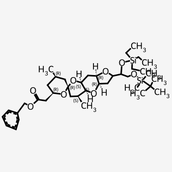 CC[Si](CC)(CC)OC(CO[Si](C)(C)C(C)(C)C)C1C[C@H]2O[C@@H]3[C@H](C[C@H]2O1)O[C@]1(C[C@H](C)C[C@H](CC(=O)OCc2ccccc2)O1)C[C@@H]3C